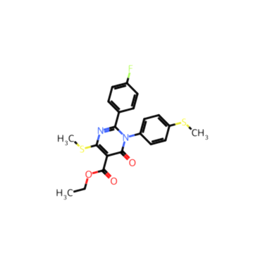 CCOC(=O)c1c(SC)nc(-c2ccc(F)cc2)n(-c2ccc(SC)cc2)c1=O